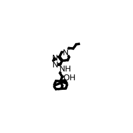 CCCCN1CCc2c(ncnc2NCC(O)C23CC4CC(CC(C4)C2)C3)C1